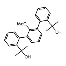 COc1c(-c2ccccc2C(C)(C)O)cccc1-c1ccccc1C(C)(C)O